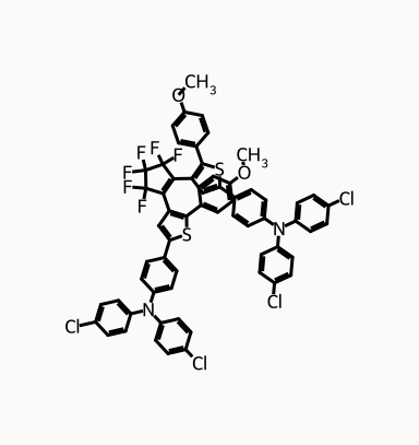 COc1ccc(-c2sc(-c3ccc(N(c4ccc(Cl)cc4)c4ccc(Cl)cc4)cc3)cc2C2=C(c3cc(-c4ccc(N(c5ccc(Cl)cc5)c5ccc(Cl)cc5)cc4)sc3-c3ccc(OC)cc3)C(F)(F)C(F)(F)C2(F)F)cc1